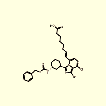 O=C(O)CCCCC/C=C/c1cnc(Cl)c2c(Br)nc([C@@H]3CCC[C@@H](NC(=O)OCc4ccccc4)C3)n12